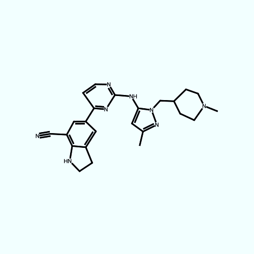 Cc1cc(Nc2nccc(-c3cc(C#N)c4c(c3)CCN4)n2)n(CC2CCN(C)CC2)n1